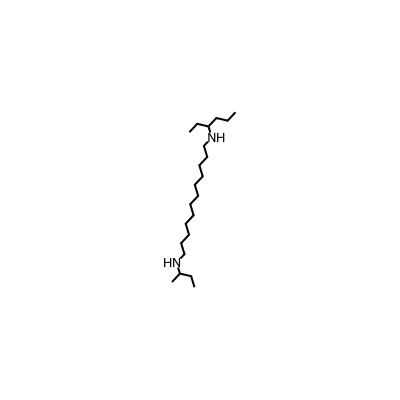 CCCC(CC)NCCCCCCCCCCCCNC(C)CC